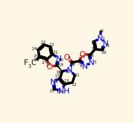 Cn1cc(-c2nnc(C(=O)N3CCc4[nH]cnc4[C@H]3c3nc4cccc(C(F)(F)F)c4o3)o2)cn1